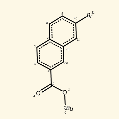 CC(C)(C)OC(=O)c1ccc2ccc(Br)cc2c1